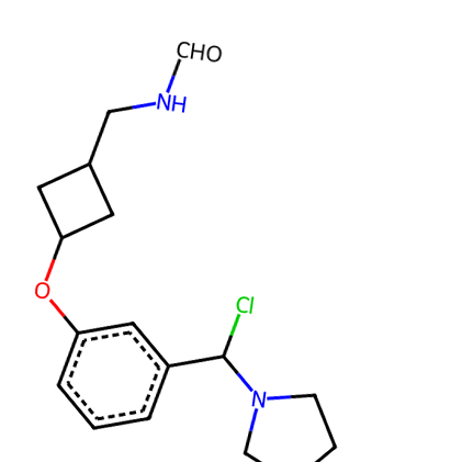 O=CNCC1CC(Oc2cccc(C(Cl)N3CCCC3)c2)C1